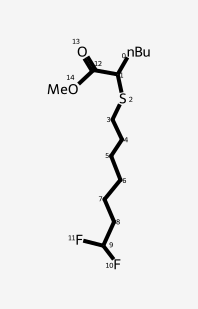 CCCCC(SCCCCCCC(F)F)C(=O)OC